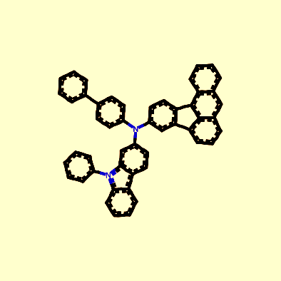 c1ccc(-c2ccc(N(c3ccc4c(c3)-c3cccc5cc6ccccc6c-4c35)c3ccc4c5ccccc5n(-c5ccccc5)c4c3)cc2)cc1